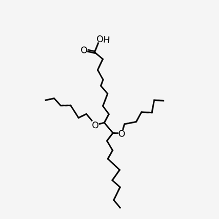 CCCCCCCCC(OCCCCCC)C(CCCCCCCC(=O)O)OCCCCCC